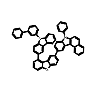 c1ccc(-c2cccc(-n3c4ccccc4c4cc(-c5cccc6sc7ccc(-c8ccc9c(c8)c8c%10ccccc%10ccc8n9-c8ccccc8)cc7c56)ccc43)c2)cc1